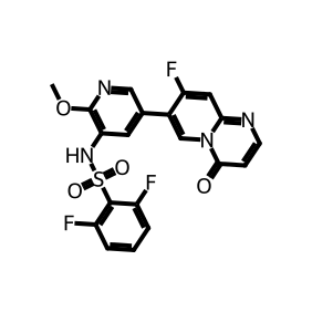 COc1ncc(-c2cn3c(=O)ccnc3cc2F)cc1NS(=O)(=O)c1c(F)cccc1F